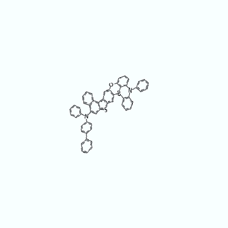 c1ccc(-c2ccc(N(c3ccccc3)c3cc4sc5cc6c(cc5c4c4ccccc34)Oc3cccc4c3B6c3ccccc3N4c3ccccc3)cc2)cc1